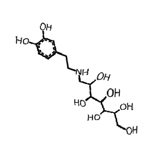 OCC(O)C(O)C(O)C(O)C(O)CNCCc1ccc(O)c(O)c1